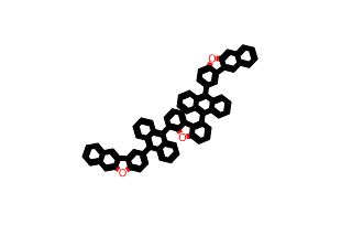 c1ccc2cc3c(cc2c1)oc1ccc(-c2c4ccccc4c(-c4cccc5c4oc4cccc(-c6c7ccccc7c(-c7ccc8oc9cc%10ccccc%10cc9c8c7)c7ccccc67)c45)c4ccccc24)cc13